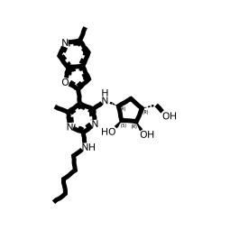 CCCCCNc1nc(C)c(-c2cc3cc(C)ncc3o2)c(N[C@@H]2C[C@H](CO)[C@@H](O)[C@H]2O)n1